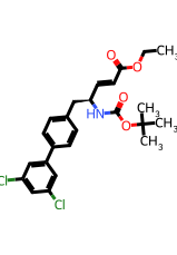 CCOC(=O)/C=C/[C@H](Cc1ccc(-c2cc(Cl)cc(Cl)c2)cc1)NC(=O)OC(C)(C)C